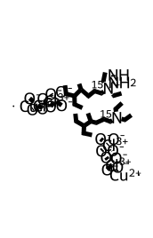 CCC(CC)C(C)CCC[15N+](CC)(CC)NN.CCC(CC)C(C)CCC[15N](CC)CC.[Cu+2].[Cu+2].[O-][Cl+3]([O-])([O-])[O-].[O-][Cl+3]([O-])([O-])[O-].[O-][Cl+3]([O-])([O-])[O-].[O-][Cl+3]([O-])([O-])[O-]